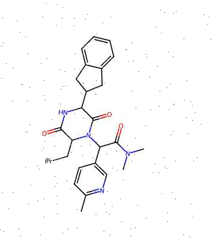 Cc1ccc(C(C(=O)N(C)C)N2C(=O)C(C3Cc4ccccc4C3)NC(=O)C2CC(C)C)cn1